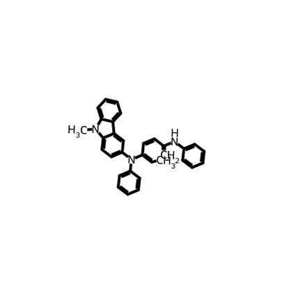 C=C(/C=C\C(=C/C)N(c1ccccc1)c1ccc2c(c1)c1ccccc1n2C)Nc1ccccc1